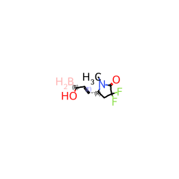 B[C@@H](O)/C=C/[C@H]1CC(F)(F)C(=O)N1C